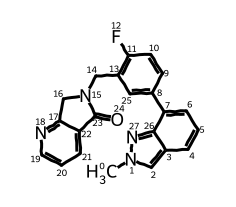 Cn1cc2cccc(-c3ccc(F)c(CN4Cc5ncccc5C4=O)c3)c2n1